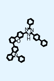 c1ccc(C2=NC(c3ccc4c(c3)oc3c(-c5ccc6c(c5)c5ccccc5n6-c5ccccc5)cccc34)NC(c3ccc(-c4ccccc4)cc3)=N2)cc1